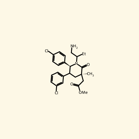 CCC(CN)N1C(=O)[C@@](C)(CC(=O)OC)CC(c2cccc(Cl)c2)[C@H]1c1ccc(Cl)cc1